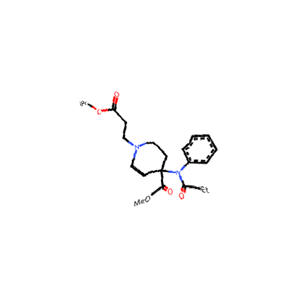 CCC(=O)N(c1ccccc1)C1(C(=O)OC)CCN(CCC(=O)OC(C)C)CC1